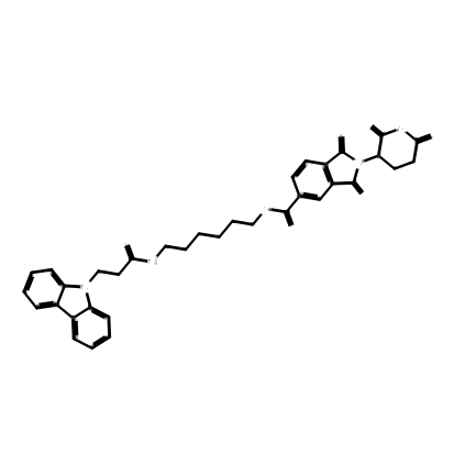 O=C(CCn1c2ccccc2c2ccccc21)NCCCCCCNC(=O)c1ccc2c(c1)C(=O)N(C1CCC(=O)NC1=O)C2=O